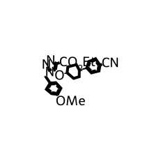 CCOC(=O)c1nnn(Cc2ccc(OC)cc2)c1O[C@H]1CC[C@H](c2ccc(C#N)cc2)CC1